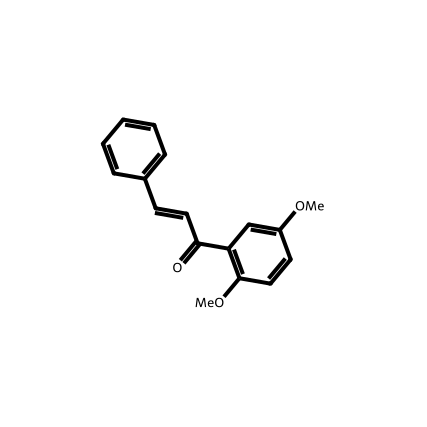 COc1ccc(OC)c(C(=O)C=Cc2ccccc2)c1